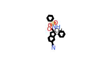 C[C@]1(C(=O)NS(=O)(=O)c2ccccc2)Cc2ccc(C#N)cc2[C@H]1c1ccccc1